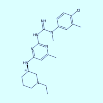 CCN1CCC[C@@H](Nc2cc(C)nc(NC(=N)N(C)c3ccc(Cl)c(C)c3)n2)C1